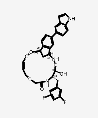 O=C1CCCC=CCO[C@@H]2C[C@H](NC[C@@H](O)[C@H](Cc3cc(F)cc(F)c3)N1)c1cc(-c3ccc4[nH]ccc4c3)ccc12